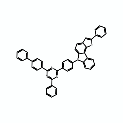 c1ccc(-c2ccc(-c3nc(-c4ccccc4)nc(-c4ccc(-n5c6ccccc6c6c7oc(-c8ccccc8)cc7ccc65)cc4)n3)cc2)cc1